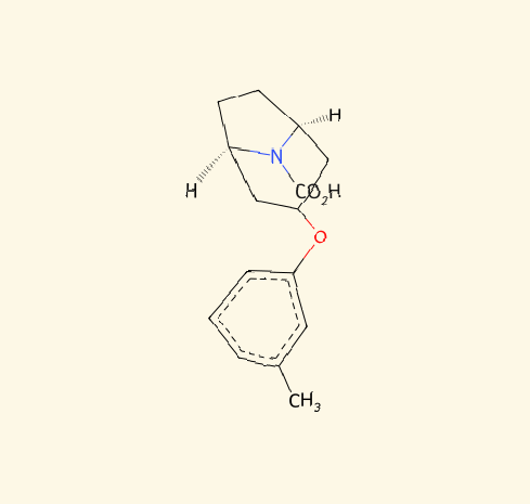 Cc1cccc(OC2C[C@H]3CC[C@@H](C2)N3C(=O)O)c1